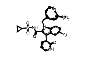 Nc1cc(Cn2c(C(=O)NS(=O)(=O)C3CC3)c(-c3ccc[nH]c3=O)c3cc(Cl)ccc32)ccn1